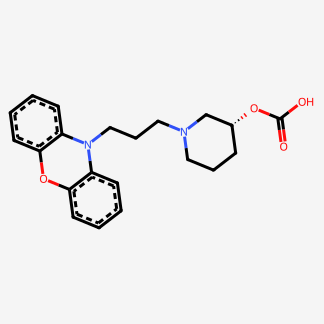 O=C(O)O[C@@H]1CCCN(CCCN2c3ccccc3Oc3ccccc32)C1